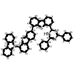 c1ccc(C2=NC(c3cccc4c3sc3c(-c5ccc6c(c5)sc5c(-n7c8ccccc8c8ccccc87)cccc56)cccc34)NC(c3ccccc3)=N2)cc1